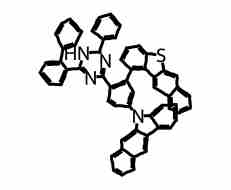 c1ccc(-c2ccccc2C2=NC(c3ccc(-n4c5ccccc5c5cc6ccccc6cc54)cc3-c3cccc4sc5cc6ccccc6cc5c34)=NC(c3ccccc3)N2)cc1